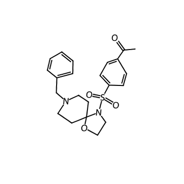 CC(=O)c1ccc(S(=O)(=O)N2CCOC23CCN(Cc2ccccc2)CC3)cc1